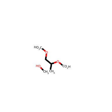 CC(COC(=O)O)OC(=O)O.CO